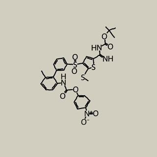 CSc1sc(C(=N)NC(=O)OC(C)(C)C)cc1S(=O)(=O)c1cccc(-c2c(C)cccc2NC(=O)Oc2ccc([N+](=O)[O-])cc2)c1